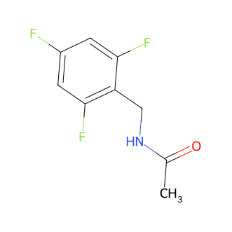 CC(=O)NCc1c(F)cc(F)cc1F